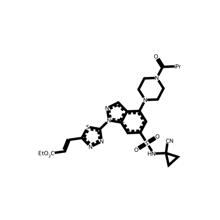 CCOC(=O)/C=C/c1nnc(-n2ncc3c(N4CCN(C(=O)C(C)C)CC4)cc(S(=O)(=O)NC4(C#N)CC4)cc32)s1